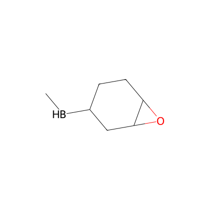 CBC1CCC2OC2C1